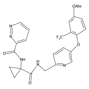 COc1ccc(Oc2ccc(CNC(=O)C3(NC(=O)c4cccnn4)CC3)nc2)c(C(F)(F)F)c1